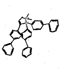 C[P+]1(C)CC=C(c2ccc(-c3ccccc3)cc2)[B-]1(c1ccc(-c2ccccc2)cc1)c1ccc(-c2ccccc2)cc1